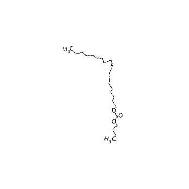 CCCCCCCC/C=C\CCCCCCCCOC(=O)OCCCC